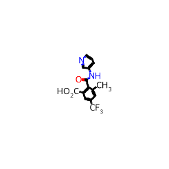 Cc1cc(C(F)(F)F)cc(C(=O)O)c1C(=O)Nc1cccnc1